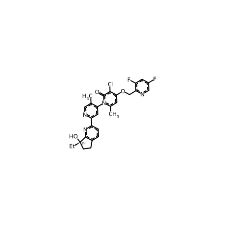 CC[C@]1(O)CCc2ccc(-c3cc(-n4c(C)cc(OCc5ncc(F)cc5F)c(Cl)c4=O)c(C)cn3)nc21